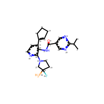 CC(C)c1ncc(C(=O)Nc2c(C3=CCCC3)ccnc2N2CCC(F)(P)C2)cn1